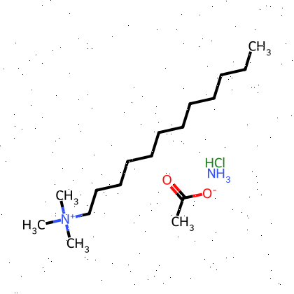 CC(=O)[O-].CCCCCCCCCCCC[N+](C)(C)C.Cl.N